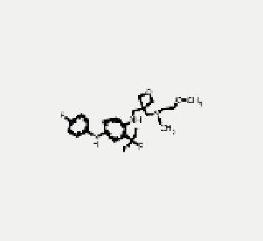 COCCN(C)CC1(CNc2ccc(Nc3ccc(F)cc3)cc2C(F)(F)F)COC1